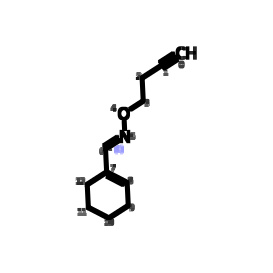 C#CCCO/N=[C]/C1=CCCCC1